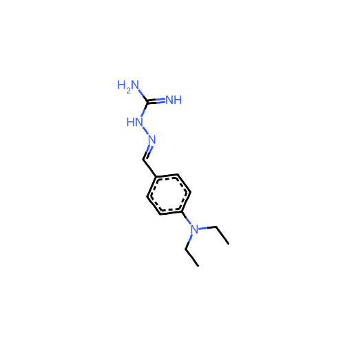 CCN(CC)c1ccc(C=NNC(=N)N)cc1